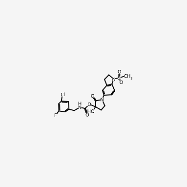 CS(=O)(=O)N1CCc2cc(N3CCC(O)(OC(=O)NCc4cc(F)cc(Cl)c4)C3=O)ccc21